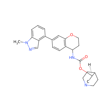 Cn1ncc2c(-c3ccc4c(c3)OCCC4NC(=O)O[C@@H]3CN4CCC3CC4)cccc21